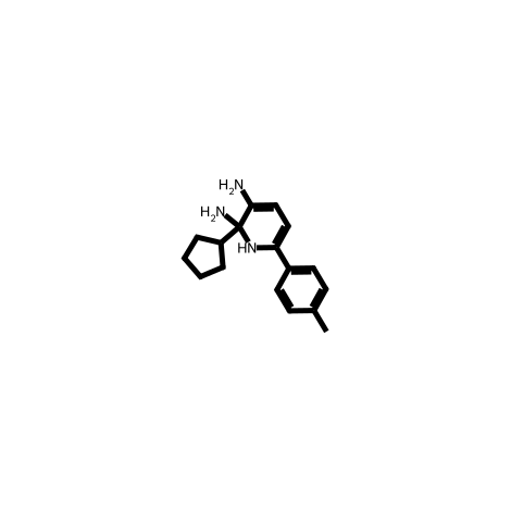 Cc1ccc(C2=CC=C(N)C(N)(C3CCCC3)N2)cc1